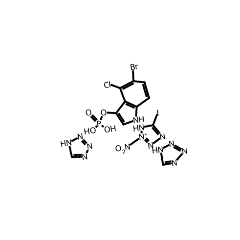 O=P(O)(O)Oc1c[nH]c2ccc(Br)c(Cl)c12.O=[N+]([O-])[n+]1nnc(I)[nH]1.c1nnn[nH]1.c1nnn[nH]1